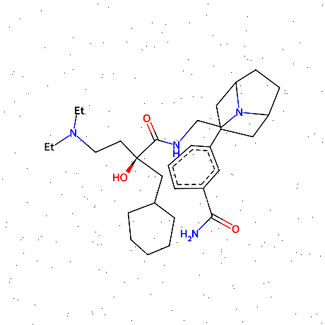 CCN(CC)CC[C@@](O)(CC1CCCCC1)C(=O)NCCN1C2CCC1CC(c1cccc(C(N)=O)c1)C2